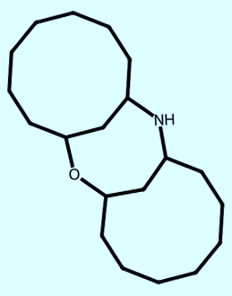 C1CCCC2CC(CCC1)OC1CCCCCCCC(C1)N2